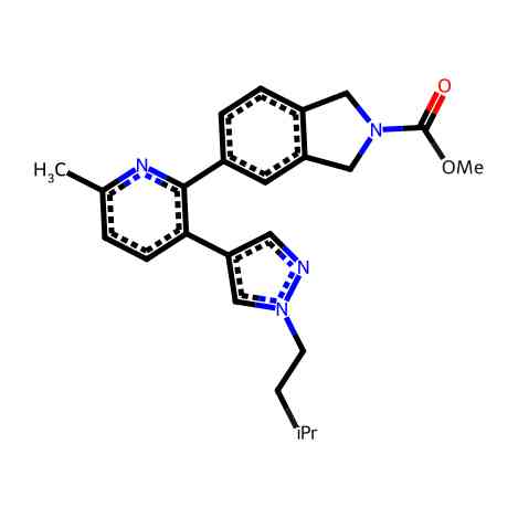 COC(=O)N1Cc2ccc(-c3nc(C)ccc3-c3cnn(CCC(C)C)c3)cc2C1